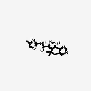 Cc1csc(NC(=O)c2n[nH]c3c2C(C)(C)Cc2cncnc2-3)n1